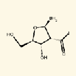 B[C@@H]1O[C@H](CO)[C@@H](O)[C@H]1C(=O)I